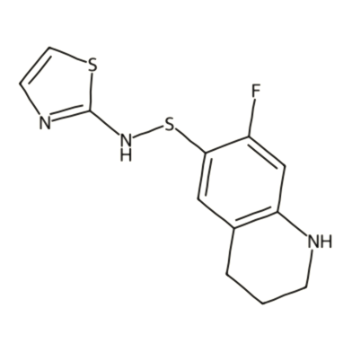 Fc1cc2c(cc1SNc1nccs1)CCCN2